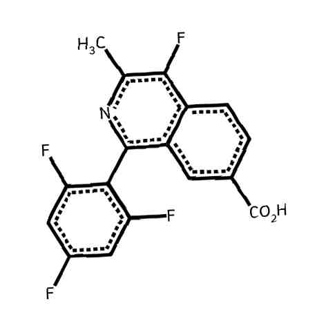 Cc1nc(-c2c(F)cc(F)cc2F)c2cc(C(=O)O)ccc2c1F